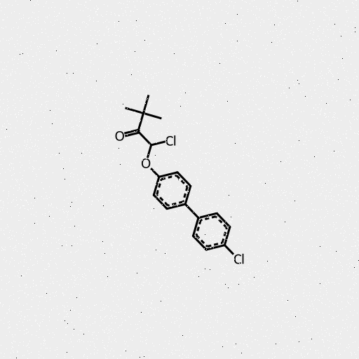 CC(C)(C)C(=O)C(Cl)Oc1ccc(-c2ccc(Cl)cc2)cc1